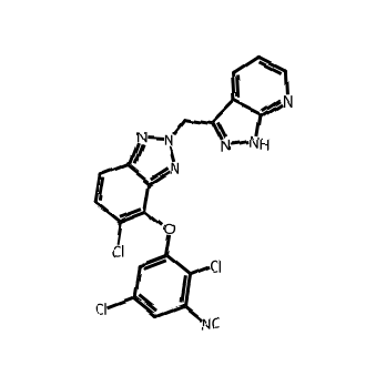 [C-]#[N+]c1cc(Cl)cc(Oc2c(Cl)ccc3nn(Cc4n[nH]c5ncccc45)nc23)c1Cl